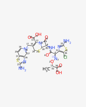 C[C@H](O/N=C(\C(=O)N[C@@H]1C(=O)N2C(C(=O)O)=C(C[n+]3ccc4sc(N)nc4c3)CSC12)c1nc(N)sc1Cl)C(=O)O